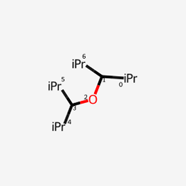 CC(C)C(OC(C(C)C)C(C)C)C(C)C